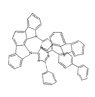 c1ccc(-c2ccc(-c3ccc(-n4c5ccccc5c5ccc6c7ccccc7n(-c7nc(-c8ccccc8)nc(-c8cccc9c8sc8ccccc89)n7)c6c54)cc3)cc2)cc1